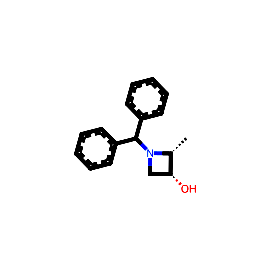 C[C@@H]1[C@H](O)CN1C(c1ccccc1)c1ccccc1